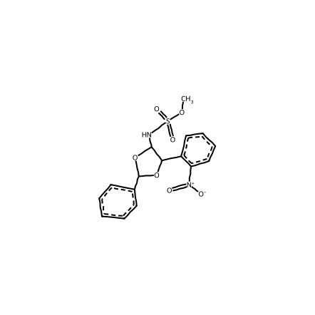 COS(=O)(=O)NC1OC(c2ccccc2)OC1c1ccccc1[N+](=O)[O-]